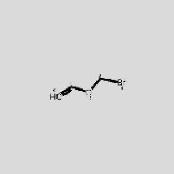 [CH]=COCBr